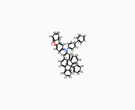 c1ccc(-c2ccc(N(c3ccc4c5c(ccc4c3)-c3ccccc3C5(c3ccccc3)c3ccccc3)c3ccc4oc5ccccc5c4c3)cc2)cc1